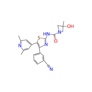 Cc1cc(-c2sc(NC(=O)N3CC(C)(O)C3)nc2-c2cccc(C#N)c2)cc(C)n1